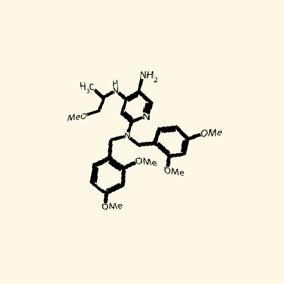 COCC(C)Nc1cc(N(Cc2ccc(OC)cc2OC)Cc2ccc(OC)cc2OC)ncc1N